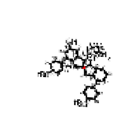 CCCC(C)C1=Cc2c(-c3ccc(C(C)(C)C)cc3)cccc2[CH]1[Zr]([CH3])([CH3])(=[SiH2])[CH]1C(C)=Cc2c(-c3ccc(C(C)(C)C)cc3)cc(C)cc21.Cl.Cl